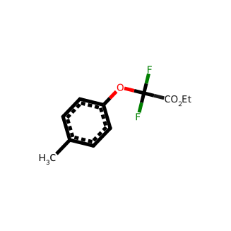 CCOC(=O)C(F)(F)Oc1ccc(C)cc1